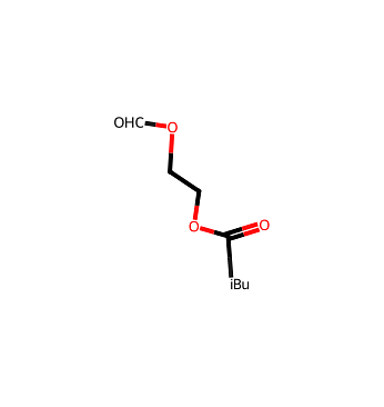 CCC(C)C(=O)OCCOC=O